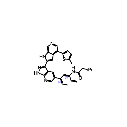 C=C/C(=C\C(=C/C)c1cnc2[nH]nc(-c3cc4c(-c5ccc(C)s5)cncc4[nH]3)c2c1)NC(=O)CC(C)C